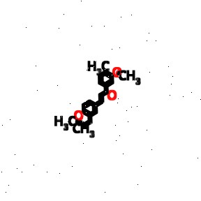 COc1cc(C(=O)/C=C/c2ccc3c(c2)CCC(C)(C)O3)ccc1C